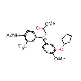 COC(=O)C[C@H](c1ccc(OC)c(OC2CCCC2)c1)c1ccc(NC(C)=O)c(C(F)(F)F)c1